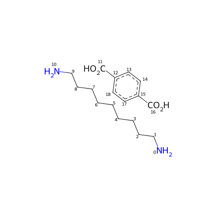 NCCCCCCCCCN.O=C(O)c1ccc(C(=O)O)cc1